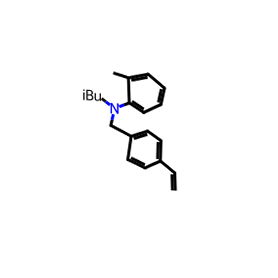 C=Cc1ccc(CN(c2ccccc2C)C(C)CC)cc1